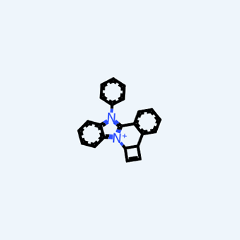 C1=CC2C1c1ccccc1-c1n(-c3ccccc3)c3ccccc3[n+]12